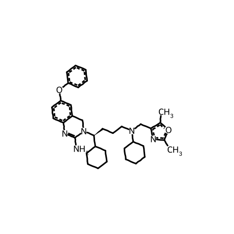 Cc1nc(CN(CCC[C@@H](C2CCCCC2)N2Cc3cc(Oc4ccccc4)ccc3N=C2N)C2CCCCC2)c(C)o1